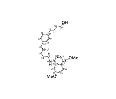 COCc1nnc(NC2CCN(Cc3ccc(CCCCO)cc3)CC2)c2cc(OC)ccc12